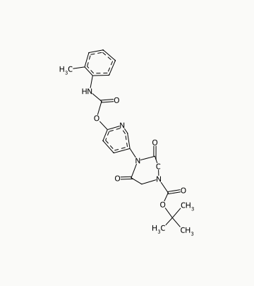 Cc1ccccc1NC(=O)Oc1ccc(N2C(=O)CN(C(=O)OC(C)(C)C)CC2=O)cn1